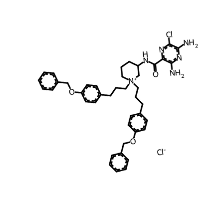 Nc1nc(N)c(C(=O)NC2CCC[N+](CCCc3ccc(OCc4ccccc4)cc3)(CCCc3ccc(OCc4ccccc4)cc3)C2)nc1Cl.[Cl-]